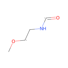 CO[CH]CN[C]=O